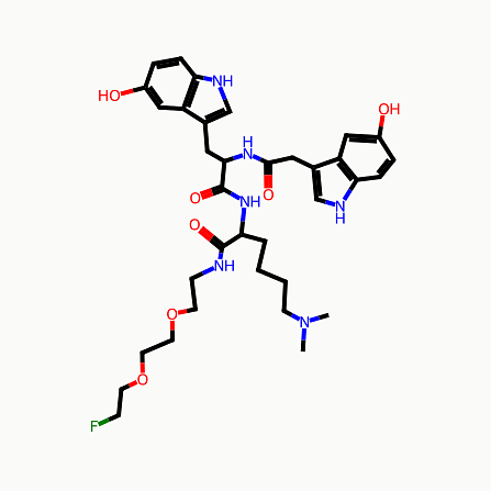 CN(C)CCCCC(NC(=O)C(Cc1c[nH]c2ccc(O)cc12)NC(=O)Cc1c[nH]c2ccc(O)cc12)C(=O)NCCOCCOCCF